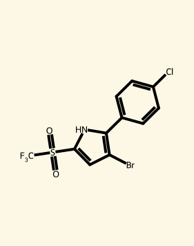 O=S(=O)(c1cc(Br)c(-c2ccc(Cl)cc2)[nH]1)C(F)(F)F